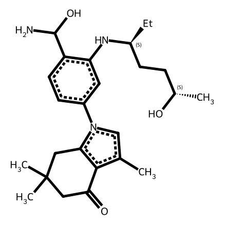 CC[C@@H](CC[C@H](C)O)Nc1cc(-n2cc(C)c3c2CC(C)(C)CC3=O)ccc1C(N)O